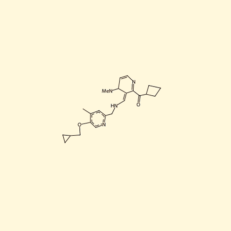 CNC1C=CN=C(C(=O)C2CCC2)/C1=C/NCc1cc(C)c(OCC2CC2)cn1